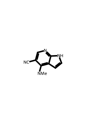 CNc1c(C#N)cnc2[nH]ccc12